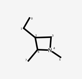 CCC1CN(C)C1C